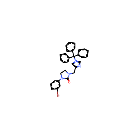 O=C1N(Cc2cn(C(c3ccccc3)(c3ccccc3)c3ccccc3)cn2)CCN1c1cccc(Br)c1